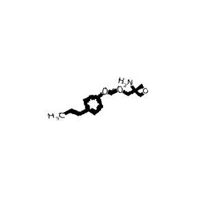 C/C=C/c1ccc(OCOCC2(N)COC2)cc1